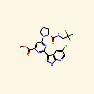 COC(=O)c1cc(N2CCC[C@@H]2C(=O)NCC(F)(F)F)nc(-c2c[nH]c3ncc(Cl)cc23)n1